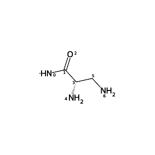 [NH]C(=O)[C@@H](N)CN